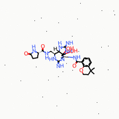 CC1(C)CCOc2c(C(=O)N[C@H]3CN4C(=N)N[C@@H](CNC(=O)[C@@H]5CCC(=O)N5)[C@@H]5NC(=N)N[C@@]54C3(O)O)cccc21